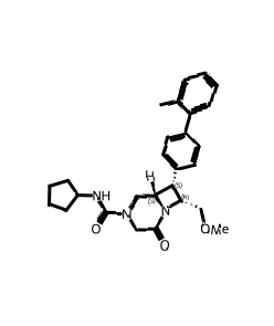 COC[C@H]1[C@@H](c2ccc(-c3ccccc3C)cc2)[C@H]2CN(C(=O)NC3CCCC3)CC(=O)N21